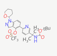 CC(C)(C)OC(=O)NC(C)(C)c1ccc(-c2ccc3c(cnn3C3CCCCO3)c2OS(=O)(=O)C(F)(F)F)nc1